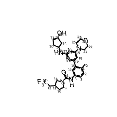 Cc1ccc(NC(=O)N2CCC(CC(F)(F)F)C2)cc1-c1cc(N2CCOCC2)nc(N[C@H]2CC[C@H](O)C2)n1